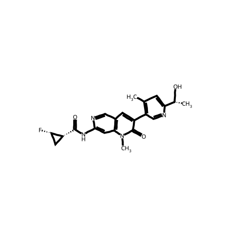 Cc1cc([C@@H](C)O)ncc1-c1cc2cnc(NC(=O)[C@@H]3C[C@@H]3F)cc2n(C)c1=O